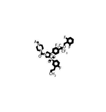 C=CCc1cc(S(=O)(=O)[C@@H]2CN(C(=O)N3CCN(C(C)=O)CC3)C[C@H]2c2ccc(C(OCc3c(F)cccc3F)(C(F)(F)F)C(F)(F)F)cc2)ccc1F